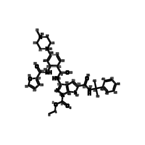 CCOC(=O)n1nc(NC(=O)c2ccc(N3CCN(C)CC3)cc2NC(=O)c2ccco2)c2cc(C(=O)NC(C)(C)c3ccccc3)sc21